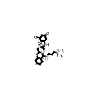 CN(C)CCCNc1nc(CN(C)C(=O)Nc2cc(Cl)cc(Cl)c2)nc2ccccc12